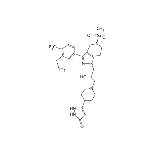 CS(=O)(=O)N1CCc2c(c(-c3ccc(C(F)(F)F)c(CN)c3)nn2CC(O)CN2CCC(c3nc(=O)[nH][nH]3)CC2)C1